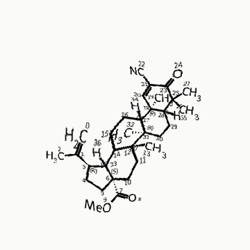 C=C(C)[C@@H]1CC[C@]2(C(=O)OC)CC[C@]3(C)C(CC[C@@H]4[C@@]5(C)C=C(C#N)C(=O)C(C)(C)[C@@H]5CC[C@]43C)[C@@H]12